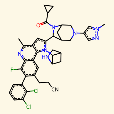 Cc1nc2c(F)c(-c3cccc(Cl)c3Cl)c(CCC#N)cc2c2c1cc(C1C3CC(CN(c4cnn(C)c4)C3)N1C(=O)C1CC1)n2C1C2CNC1C2